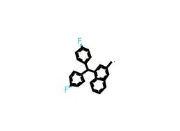 [CH2]c1cc(C(c2ccc(F)cc2)c2ccc(F)cc2)c2ccccc2c1